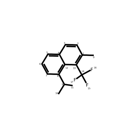 Cc1ccc2cccc(C(C)C)c2c1C(F)(F)F